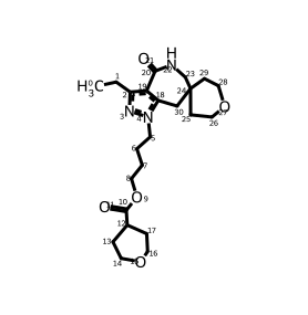 CCc1nn(CCCCOC(=O)C2CCOCC2)c2c1C(=O)NCC1(CCOCC1)C2